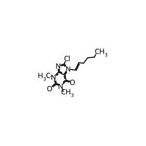 CCCCC=Cn1c(Cl)nc2c1c(=O)n(C)c(=O)n2C